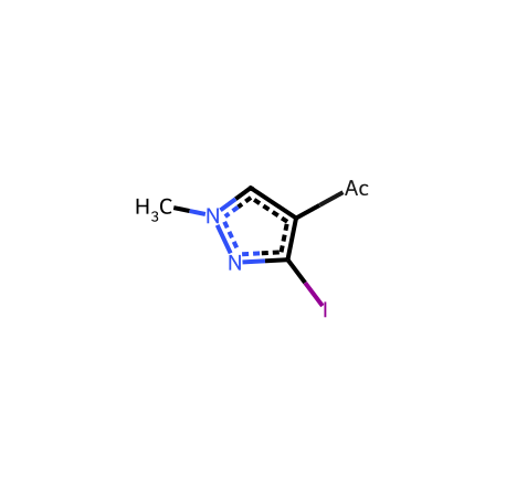 CC(=O)c1cn(C)nc1I